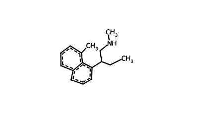 CCC(CNC)c1cccc2cccc(C)c12